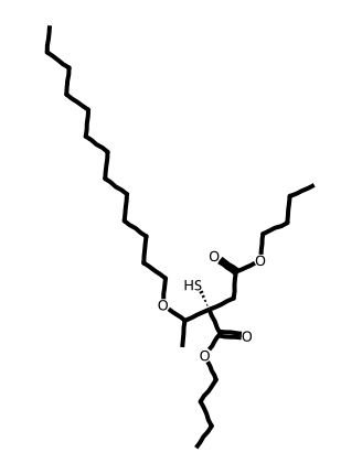 CCCCCCCCCCCCCOC(C)[C@@](S)(CC(=O)OCCCC)C(=O)OCCCC